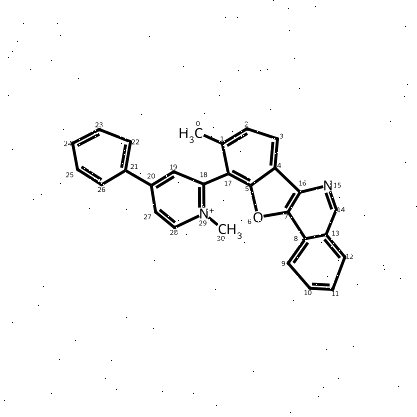 Cc1ccc2c(oc3c4ccccc4cnc23)c1-c1cc(-c2ccccc2)cc[n+]1C